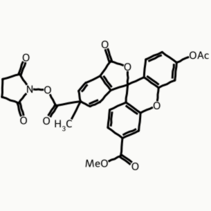 COC(=O)c1ccc2c(c1)Oc1cc(OC(C)=O)ccc1C21OC(=O)C2=C1C=CC(C)(C(=O)ON1C(=O)CCC1=O)C=C2